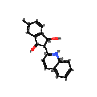 Cc1ccc2c(c1)C(=O)C(c1ccc3ccccc3n1)C2=O